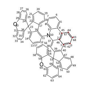 c1ccc(-c2ccccc2N(c2cccc3c2-c2ccccc2C32c3ccccc3Oc3ccccc32)c2cc3c(c4ccccc24)-c2ccccc2C32c3ccccc3Oc3ccccc32)cc1